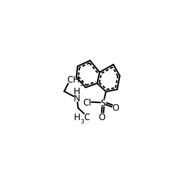 CCNCC.O=S(=O)(Cl)c1cccc2ccccc12